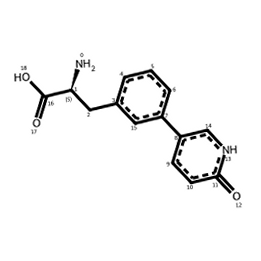 N[C@@H](Cc1cccc(-c2ccc(=O)[nH]c2)c1)C(=O)O